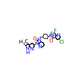 Cc1c[nH]c2ncc(-n3c(=O)n(CC4CCC(NC(=O)c5cc(Cl)cnc5C(F)F)CC4)c4cccnc43)cc12